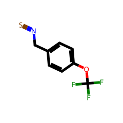 FC(F)(F)Oc1ccc(CN=S)cc1